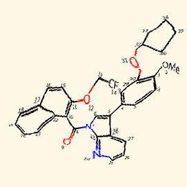 COc1ccc(-c2cn(C(=O)c3c(OCC(F)(F)F)ccc4ccccc34)c3ncccc23)cc1OC1CCCC1